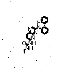 CCNC(=O)Nc1ccc2ncc(Nc3ccccc3-c3ccccc3)nc2n1